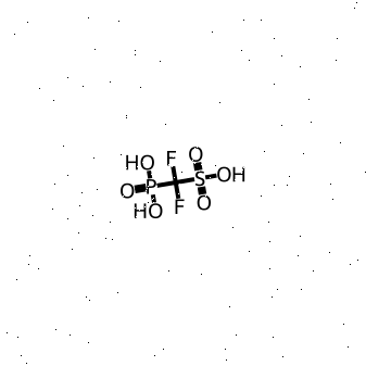 O=P(O)(O)C(F)(F)S(=O)(=O)O